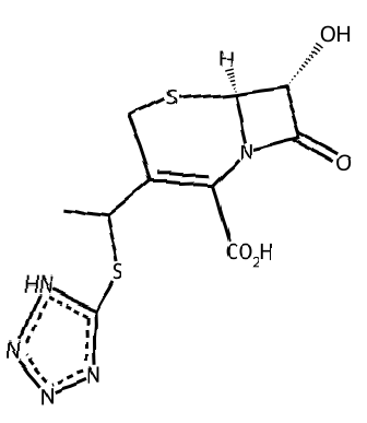 CC(Sc1nnn[nH]1)C1=C(C(=O)O)N2C(=O)[C@@H](O)[C@@H]2SC1